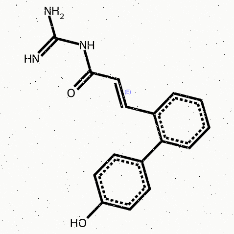 N=C(N)NC(=O)/C=C/c1ccccc1-c1ccc(O)cc1